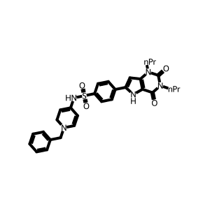 CCCn1c(=O)c2[nH]c(-c3ccc(S(=O)(=O)NC4=CCN(Cc5ccccc5)C=C4)cc3)cc2n(CCC)c1=O